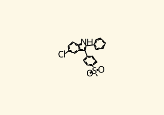 CS(=O)(=O)c1ccc(-c2c(-c3ccccc3)[nH]c3ccc(Cl)cc23)cc1